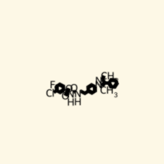 Cc1nn(-c2ccc(CCNC(=O)NS(=O)(=O)c3ccc(F)c(Cl)c3)cc2)c(C)c1-c1ccccc1